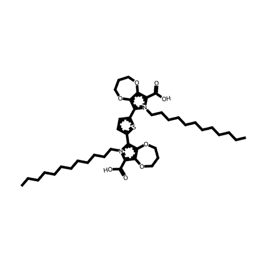 CCCCCCCCCCCCn1c(C(=O)O)c2c(c1-c1ccc(-c3c4c(c(C(=O)O)n3CCCCCCCCCCCC)OCCCO4)s1)OCCCO2